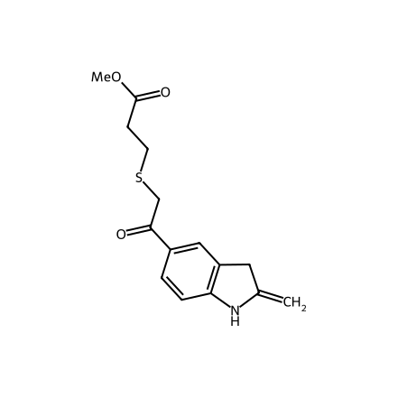 C=C1Cc2cc(C(=O)CSCCC(=O)OC)ccc2N1